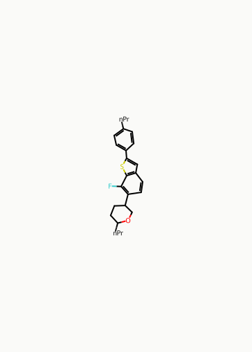 CCCc1ccc(-c2cc3ccc(C4CCC(CCC)OC4)c(F)c3s2)cc1